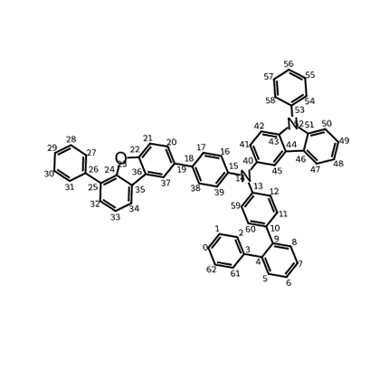 c1ccc(-c2ccccc2-c2ccc(N(c3ccc(-c4ccc5oc6c(-c7ccccc7)cccc6c5c4)cc3)c3ccc4c(c3)c3ccccc3n4-c3ccccc3)cc2)cc1